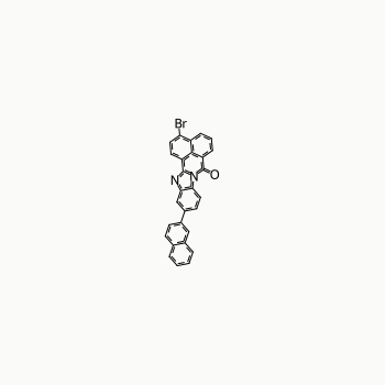 O=c1c2cccc3c(Br)ccc(c32)c2nc3cc(-c4ccc5ccccc5c4)ccc3n12